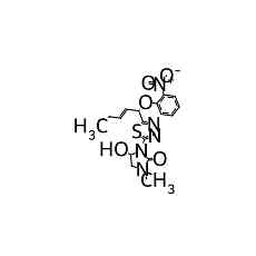 CC/C=C/C(Oc1ccccc1[N+](=O)[O-])c1nnc(N2C(=O)N(C)CC2O)s1